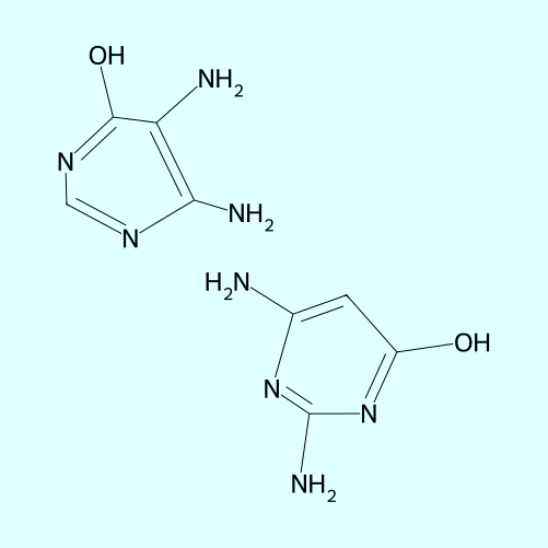 Nc1cc(O)nc(N)n1.Nc1ncnc(O)c1N